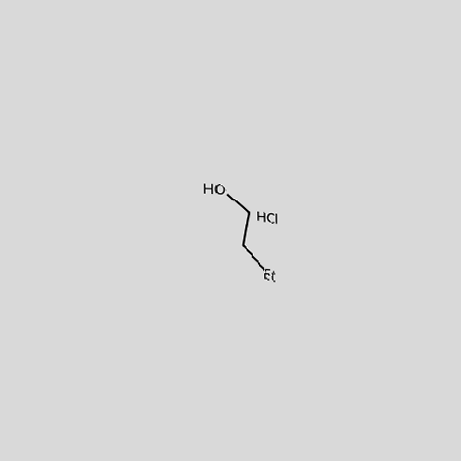 CCCCO.Cl